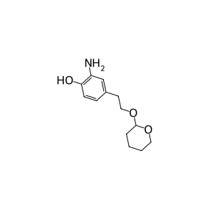 Nc1cc(CCOC2CCCCO2)ccc1O